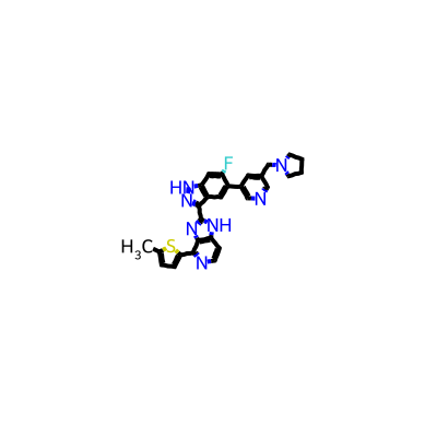 Cc1ccc(-c2nccc3[nH]c(-c4n[nH]c5cc(F)c(-c6cncc(CN7CCCC7)c6)cc45)nc23)s1